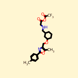 Cc1ccc(-c2nc(COC3CCCC(CNCC(=O)OC(=O)C(F)(F)F)C3)c(C)o2)cc1